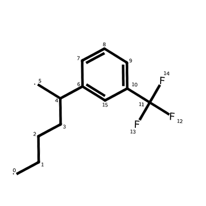 [CH2]CCCC([CH2])c1cccc(C(F)(F)F)c1